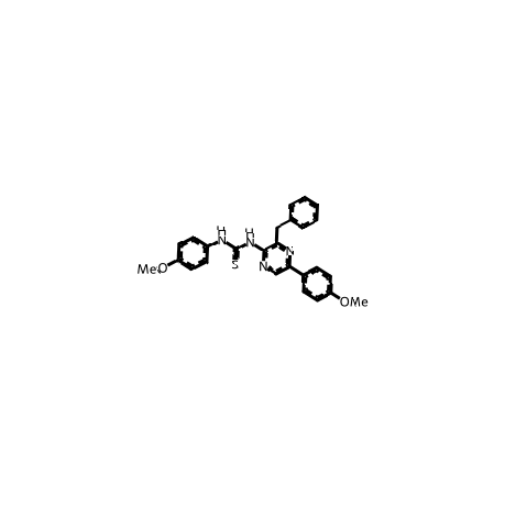 COc1ccc(NC(=S)Nc2ncc(-c3ccc(OC)cc3)nc2Cc2ccccc2)cc1